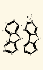 S.c1ccc2c(c1)sc1ccccc12.c1ccc2c(c1)sc1ccccc12